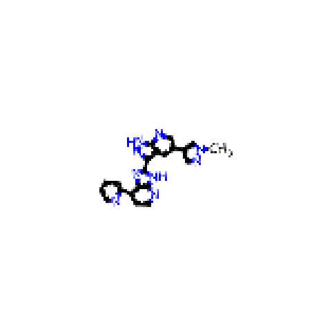 Cn1cc(-c2cnc3[nH]nc(-c4nc5c(-c6ccccn6)ccnc5[nH]4)c3c2)cn1